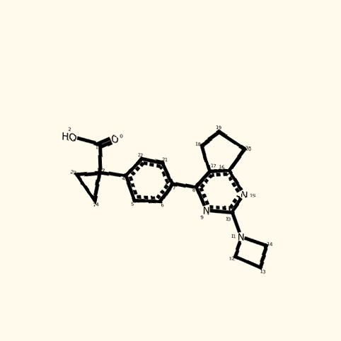 O=C(O)C1(c2ccc(-c3nc(N4CCC4)nc4c3CCC4)cc2)CC1